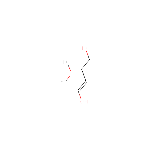 CCOCC.O/C=C/CCO